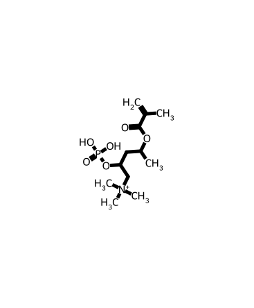 C=C(C)C(=O)OC(C)CC(C[N+](C)(C)C)OP(=O)(O)O